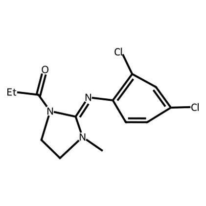 CCC(=O)N1CCN(C)C1=Nc1ccc(Cl)cc1Cl